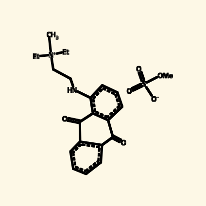 CC[N+](C)(CC)CCNc1cccc2c1C(=O)c1ccccc1C2=O.COS(=O)(=O)[O-]